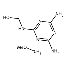 COC.Nc1nc(N)nc(NCO)n1